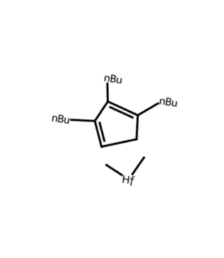 CCCCC1=CCC(CCCC)=C1CCCC.[CH3][Hf][CH3]